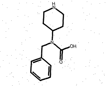 O=C(O)N(Cc1ccccc1)C1CCNCC1